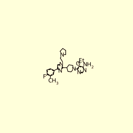 CCOc1c(N)ncnc1N1CCC(c2nc(-c3ccc(F)c(C)c3)cn2CCN2CCCC2)CC1